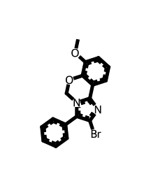 COc1cccc2c1OCn1c-2nc(Br)c1-c1ccccc1